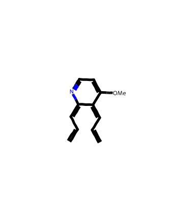 C=C/C=c1/nccc(OC)/c1=C/C=C